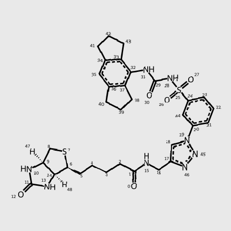 O=C(CCCC[C@@H]1SC[C@@H]2NC(=O)N[C@@H]21)NCc1cn(-c2cccc(S(=O)(=O)NC(=O)Nc3c4c(cc5c3CCC5)CCC4)c2)nn1